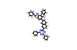 c1ccc(-c2nc(-c3ccccc3)nc(-c3ccc4ccc(-c5cc6sc(-c7ccccc7)nc6c6c5oc5ccccc56)cc4c3)n2)cc1